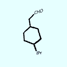 CC(C)C1CCC(CC=O)CC1